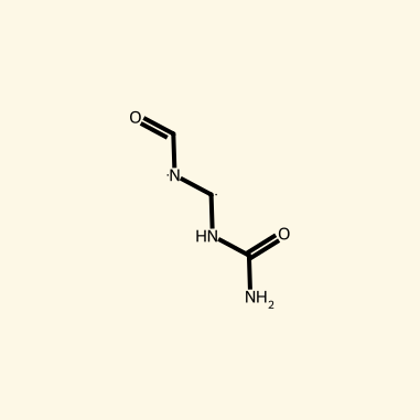 NC(=O)N[CH][N]C=O